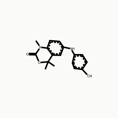 CN1C(=O)OC(C)(C)c2cc(Nc3ccc(C#N)cc3)ccc21